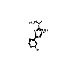 CC(N)c1nc(-c2cccc(Br)c2)c[nH]1